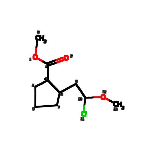 COC(=O)C1CCCC1CC(Cl)OC